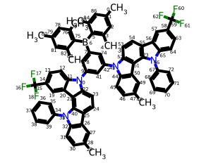 Cc1cc(C)c(B(c2cc(-n3c4ccc(C(F)(F)F)cc4c4c3ccc3c5cc(C)ccc5n(-c5ccccc5)c34)cc(-n3c4ccc(C)cc4c4c3ccc3c5cc(C(F)(F)F)ccc5n(-c5ccccc5)c34)c2)c2c(C)cc(C)cc2C)c(C)c1